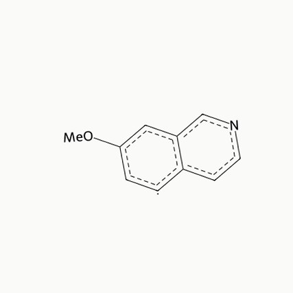 COc1c[c]c2ccncc2c1